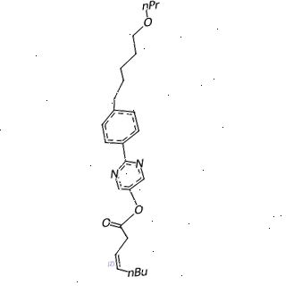 CCCC/C=C\CC(=O)Oc1cnc(-c2ccc(CCCCCOCCC)cc2)nc1